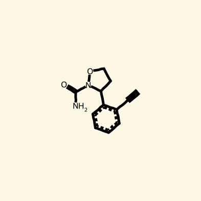 C#Cc1ccccc1C1CCON1C(N)=O